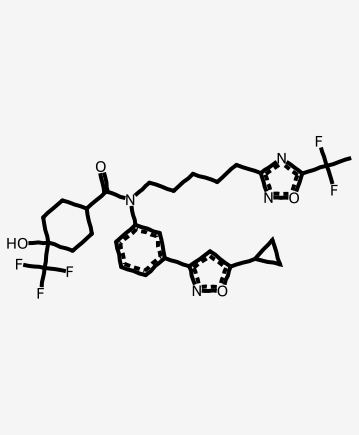 CC(F)(F)c1nc(CCCCCN(C(=O)C2CCC(O)(C(F)(F)F)CC2)c2cccc(-c3cc(C4CC4)on3)c2)no1